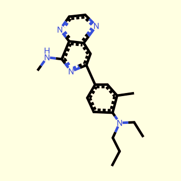 CCCN(CC)c1ccc(-c2cc3nccnc3c(NC)n2)cc1C